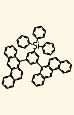 c1ccc([Si](c2ccccc2)(c2ccccc2)c2cc(-c3c4ccccc4cc4c3ccc3ccccc34)cc(-c3c4ccccc4cc4c3ccc3ccccc34)c2)cc1